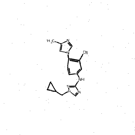 Cc1cn(-c2ccc(Nc3ncn(CC4CC4)n3)cc2C#N)cn1